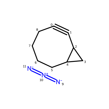 C1#CC2CC2CCCC1.[N-]=[N+]=[N-]